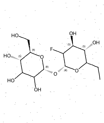 CCC1O[C@H](O[C@H]2O[C@H](CO)[C@@H](O)C(O)C2O)C(F)[C@@H](O)[C@@H]1O